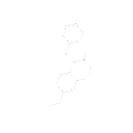 NCc1ccc2c(c1)OCC(=O)N2Cc1ccccc1